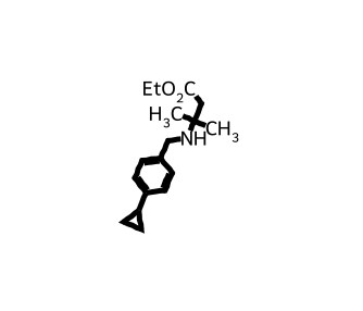 CCOC(=O)CC(C)(C)NCc1ccc(C2CC2)cc1